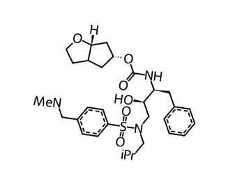 CNCc1ccc(S(=O)(=O)N(CC(C)C)C[C@@H](O)[C@H](Cc2ccccc2)NC(=O)O[C@@H]2CC3CCO[C@@H]3C2)cc1